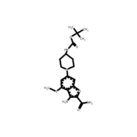 CSc1cc(N2CCC(NC(=O)OC(C)(C)C)CC2)cc2sc(C(N)=O)c(N)c12